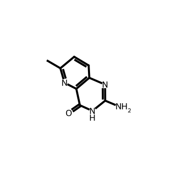 Cc1ccc2nc(N)[nH]c(=O)c2n1